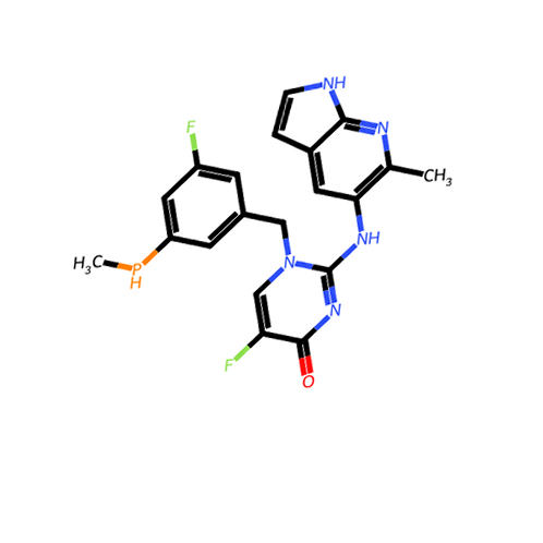 CPc1cc(F)cc(Cn2cc(F)c(=O)nc2Nc2cc3cc[nH]c3nc2C)c1